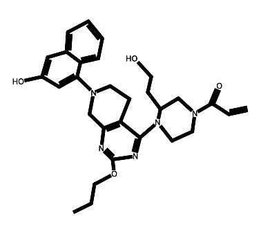 C=CC(=O)N1CCN(c2nc(OCCC)nc3c2CCN(c2cc(O)cc4ccccc24)C3)C(CCO)C1